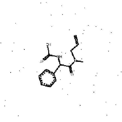 C=CCN(C)C(=O)C(NC(=O)O)c1ccccc1